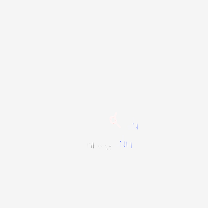 CCCCCNc1nc2ccccc2o1